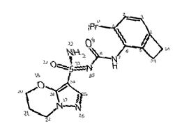 CC(C)c1ccc2c(c1NC(=O)N=[S@@](N)(=O)c1cnn3c1OCCC3)CC2